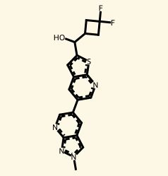 Cn1cc2cc(-c3cnc4sc(C(O)C5CC(F)(F)C5)cc4c3)cnc2n1